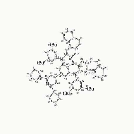 CC(C)(C)c1cc(N2c3cc4c(ccc5ccccc54)cc3B3c4cc5ccc6ccccc6c5cc4N(c4cc(C(C)(C)C)cc(C(C)(C)C)c4)c4cc(-c5cc(-c6ccccc6)nc(-c6ccccc6)c5)cc2c43)cc(C(C)(C)C)c1